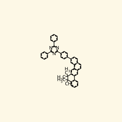 CC1(C)c2ccccc2-c2cc3ccc4ccc(-c5ccc(-c6nc(-c7ccccc7)nc(-c7ccccc7)n6)cc5)cc4c3cc2C1(C)C